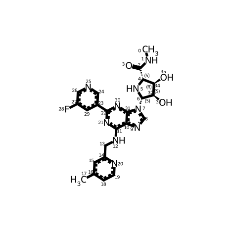 CNC(=O)[C@H]1N[C@@H](n2cnc3c(NCc4cc(C)ccn4)nc(-c4cncc(F)c4)nc32)[C@H](O)[C@@H]1O